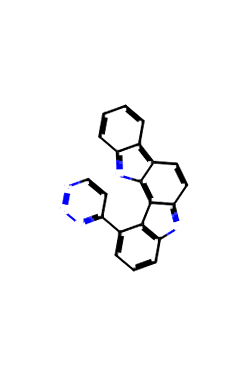 c1cc2c(c(-c3ccnnn3)c1)-c1c3c(ccc1=N2)=c1ccccc1=N3